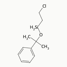 CC(C)(O[SiH2]CCCl)c1ccccc1